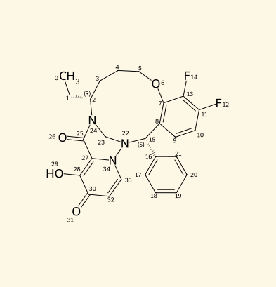 CC[C@@H]1CCCOc2c(ccc(F)c2F)[C@H](c2ccccc2)N2CN1C(=O)c1c(O)c(=O)ccn12